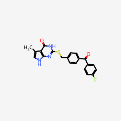 Cc1c[nH]c2nc(SCc3ccc(C(=O)c4ccc(F)cc4)cc3)[nH]c(=O)c12